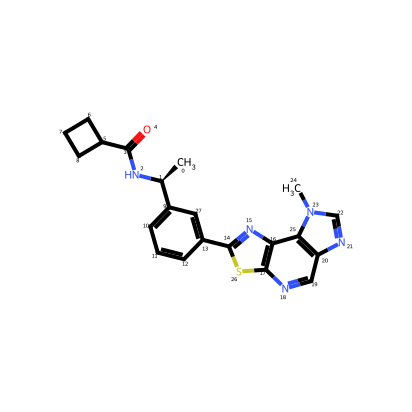 C[C@H](NC(=O)C1CCC1)c1cccc(-c2nc3c(ncc4ncn(C)c43)s2)c1